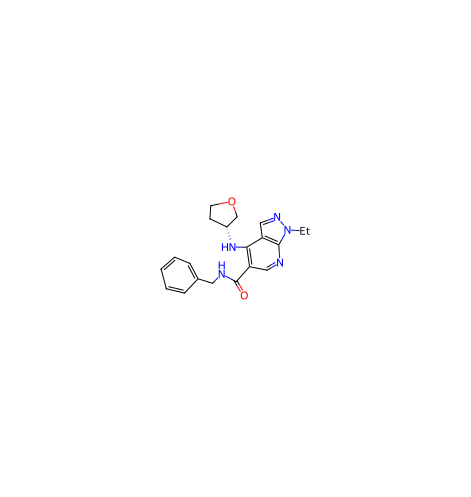 CCn1ncc2c(N[C@@H]3CCOC3)c(C(=O)NCc3ccccc3)cnc21